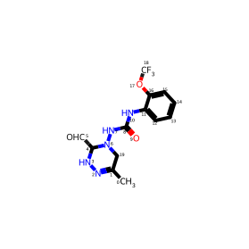 CC1=NNC(C=O)N(NC(=O)Nc2ccccc2OC(F)(F)F)C1